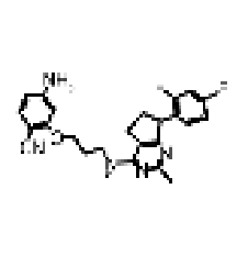 Cc1nc2c(c(N(C)CCCOc3cc(N)ccc3C#N)n1)CCC2c1ccc(F)cc1F